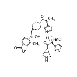 CN(C(=O)C1C2CNCC21)c1ccns1.Cc1c([C@@H](O)CN2CCC(C(=O)N(C)c3ccns3)CC2)ccc2c1COC2=O.Cl.Cl